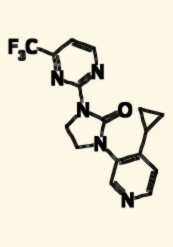 O=C1N(c2nccc(C(F)(F)F)n2)CCN1c1cnccc1C1CC1